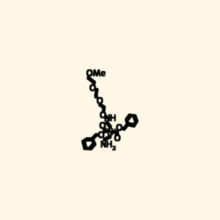 COCCOCCOCCONCC[N+](CCN)(C(=O)OCc1ccccc1)C(=O)OCc1ccccc1